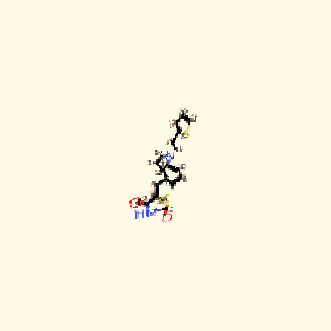 O=C1NC(=O)/C(=C/c2cccc3c2ccn3CCc2cccs2)S1